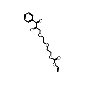 C=COC(=O)OCCOCCOCC(=O)C(=O)c1ccccc1